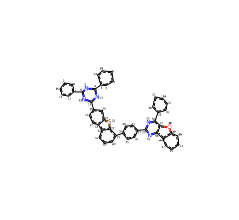 c1ccc(-c2nc(-c3ccccc3)nc(-c3ccc4c(c3)sc3c(-c5ccc(-c6nc(-c7ccccc7)c7oc8ccccc8c7n6)cc5)cccc34)n2)cc1